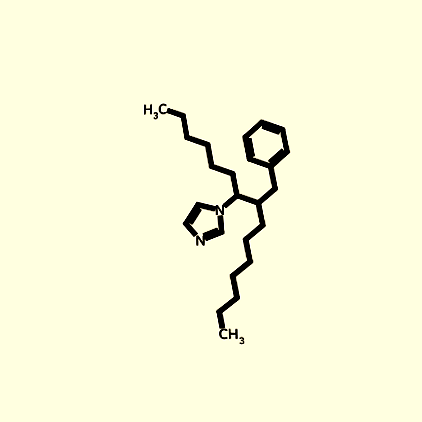 CCCCCCCC(Cc1ccccc1)C(CCCCCC)n1ccnc1